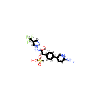 CS(=O)(=O)O.Nc1ccc(-c2ccc(CC(=O)Nn3cc(C(F)(F)F)cn3)cc2)cn1